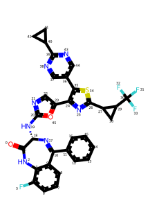 O=C1Nc2c(F)cccc2C(c2ccccc2)=N[C@H]1Nc1ncc(-c2nc(C3CC3C(F)(F)F)sc2-c2cnc(C3CC3)nc2)o1